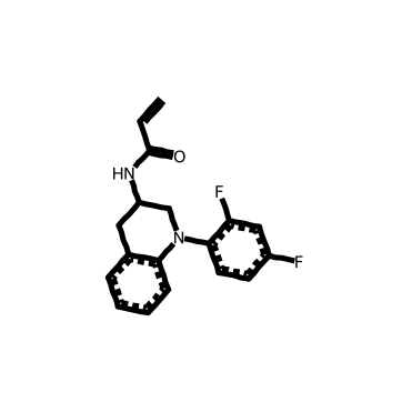 C=CC(=O)NC1Cc2ccccc2N(c2ccc(F)cc2F)C1